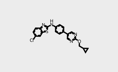 Clc1ccc2nc(Nc3ccc(-c4cnc(OCC5CC5)nc4)cc3)sc2c1